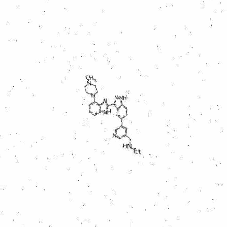 CCNCc1cncc(-c2ccc3[nH]nc(-c4nc5c(N6CCN(C)CC6)cccc5[nH]4)c3c2)c1